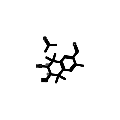 CC(C)=O.Cc1cc2c(cc1C=O)C(C)(C)[C@H](O)[C@H](O)C2(C)C